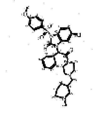 COc1ccc(S(=O)(=O)n2c(=O)n(C(C(=O)N3CCN(CC4CCCN(C)C4)CC3)c3ccccc3)c3cc(Cl)ccc32)cc1